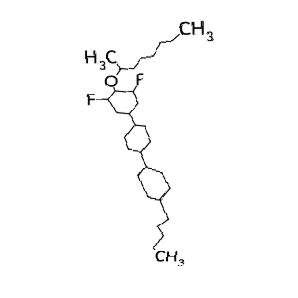 CCCCCCC(C)OC1C(F)CC(C2CCC(C3CCC(CCCCC)CC3)CC2)CC1F